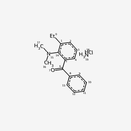 CCc1cccc(C(=O)c2ccccc2)c1N(C)C.Cl.N